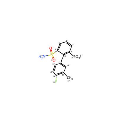 NS(=O)(=O)c1cccc(S(=O)(=O)O)c1-c1ccc(F)c(C(F)(F)F)c1